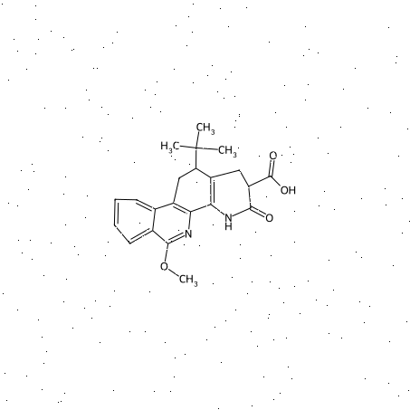 COc1nc2c(c3ccccc13)CC(C(C)(C)C)C1=C2NC(=O)C(C(=O)O)C1